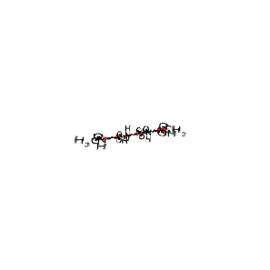 CC(=O)NCCCCCN(O)C(=O)CCC(=O)NCCCCCN(O)C(=O)CCC(=O)NCCCCCN(O)C(C)=O